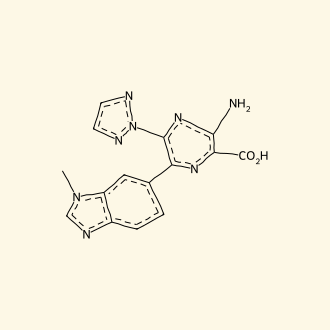 Cn1cnc2ccc(-c3nc(C(=O)O)c(N)nc3-n3nccn3)cc21